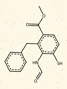 COC(=O)c1ccc(S)c(NC=O)c1Cc1ccccc1